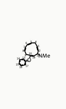 CNC1/C=C\C/C=C\C=C/C/C(Oc2ccccc2)=C\1